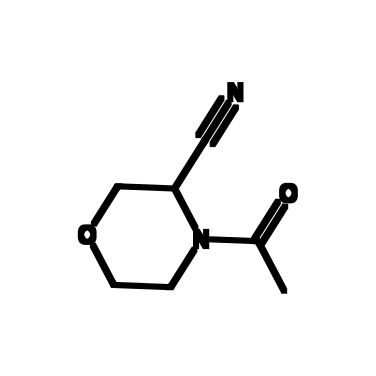 CC(=O)N1CCOCC1C#N